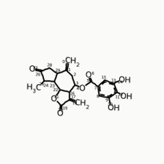 C=C1CC(OC(=O)c2cc(O)c(O)c(O)c2)C2C(=C)C(=O)OC2C2C(C)C(=O)CC12